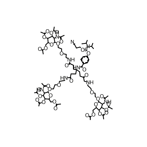 CC(=O)NC1C(OCCOCCNCC(=O)CCC(CCC(=O)NCCOCCOC2OC(COC(C)=O)C(OC(C)=O)C(OC(C)=O)C2NC(C)=O)(CCC(=O)NCCOCCOC2OC(COC(C)=O)C(OC(C)=O)C(OC(C)=O)C2NC(C)=O)NC(=O)c2ccc(OP(OCCC#N)N(C(C)C)C(C)C)cc2)OC(COC(C)=O)C(OC(C)=O)C1OC(C)=O